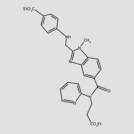 CCOC(=O)CCN(C(=O)c1ccc2c(c1)nc(CNc1ccc(C(=O)OCC)cc1)n2C)c1ccccn1